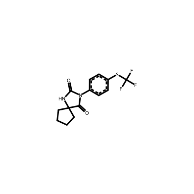 O=C1NC2(CCCC2)C(=O)N1c1ccc(SC(F)(F)F)cc1